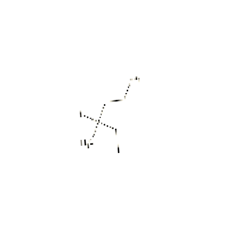 CCCCCC(C)(I)CI